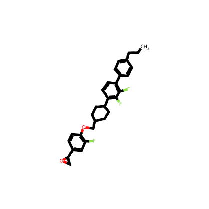 CCCc1ccc(-c2ccc(C3CCC(COc4ccc(C5CO5)cc4F)CC3)c(F)c2F)cc1